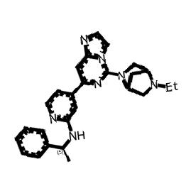 CCN1CC2CC1CN2c1nc(-c2ccnc(N[C@@H](C)c3ccccc3)c2)cc2nccn12